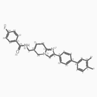 Cc1ccc(-c2ccc(-c3cn4c(n3)CCC(CNC(=O)c3ccc(F)cc3)C4)cc2)cc1C